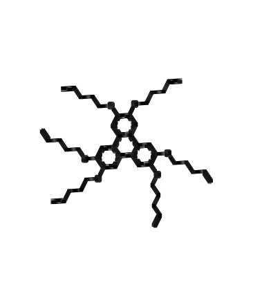 C=CCCCOc1cc2c3cc(OCCCC=C)c(OCCCC=C)cc3c3cc(OCCCC=C)c(OCCCC=C)cc3c2cc1OCCCC=C